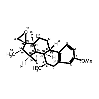 COc1ccc2c(c1)C[C@@H](C)[C@@H]1[C@@H]2CC[C@@]2(C)[C@@]13C[C@H]3[C@H](C)[C@@]21CO1